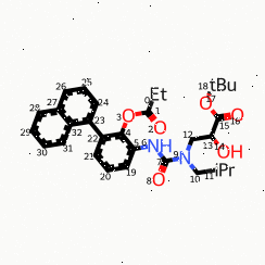 CCC(=O)Oc1c(NC(=O)N(CC(C)C)CC(O)C(=O)OC(C)(C)C)cccc1-c1cccc2ccccc12